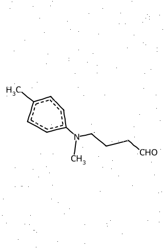 Cc1ccc(N(C)CCCC=O)cc1